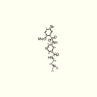 COc1ccc(Br)cc1S(=O)(=O)Nc1cncc(C(=O)NCCN(C)C)c1